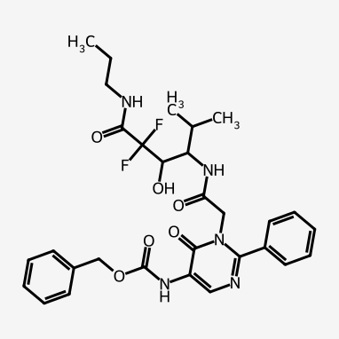 CCCNC(=O)C(F)(F)C(O)C(NC(=O)Cn1c(-c2ccccc2)ncc(NC(=O)OCc2ccccc2)c1=O)C(C)C